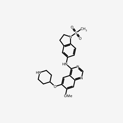 COc1cc2ncnc(Nc3ccc4c(c3)CCN4S(C)(=O)=O)c2cc1OC1CCNCC1